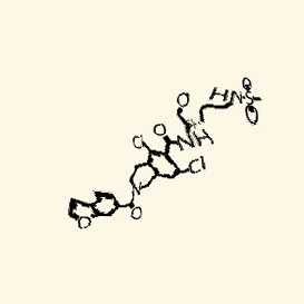 CS(=O)(=O)NCCC[C@@H](C=O)NC(=O)c1c(Cl)cc2c(c1Cl)CCN(C(=O)c1ccc3ccoc3c1)C2